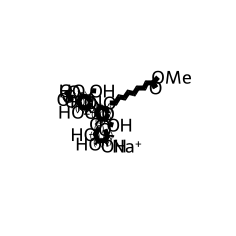 COC(=O)CCCCCCCCO[C@@H]1O[C@H](CO)[C@@H](O[C@@H]2O[C@@H](C)[C@@H](O)[C@@H](O)[C@@H]2O)[C@H](O[C@@H]2O[C@H](CO)[C@H](O)[C@H](OS(=O)(=O)[O-])[C@H]2O)[C@H]1N.[Na+]